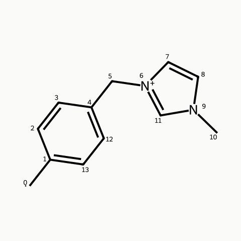 [CH2]c1ccc(C[n+]2ccn(C)c2)cc1